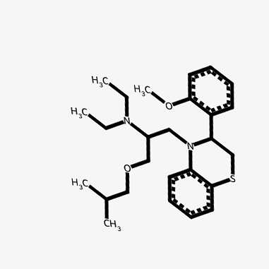 CCN(CC)C(COCC(C)C)CN1c2ccccc2SCC1c1ccccc1OC